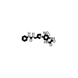 O=C(NCc1ccn(-c2cc3[nH]c(=O)c(=O)[nH]c3cc2[N+](=O)[O-])c1)Nc1ccccc1